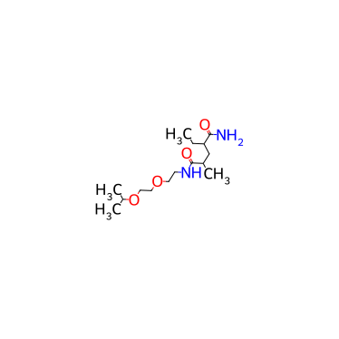 CCC(CC(C)C(=O)NCCOCCOC(C)C)C(N)=O